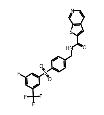 O=C(NCc1ccc(S(=O)(=O)c2cc(F)cc(C(F)(F)F)c2)cc1)c1cc2ccncc2s1